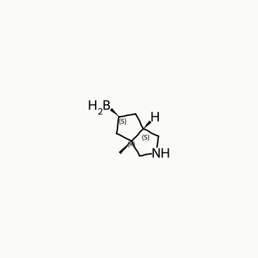 B[C@H]1C[C@@H]2CNC[C@]2(C)C1